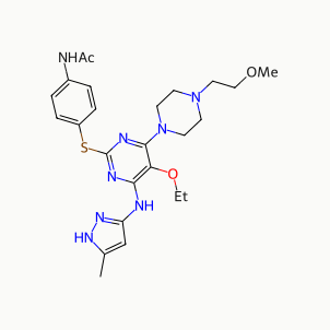 CCOc1c(Nc2cc(C)[nH]n2)nc(Sc2ccc(NC(C)=O)cc2)nc1N1CCN(CCOC)CC1